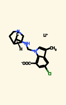 Cc1cn(CN[C@@H]2CN3CCC2CC3)c2c(C(=O)[O-])cc(Cl)cc12.[Li+]